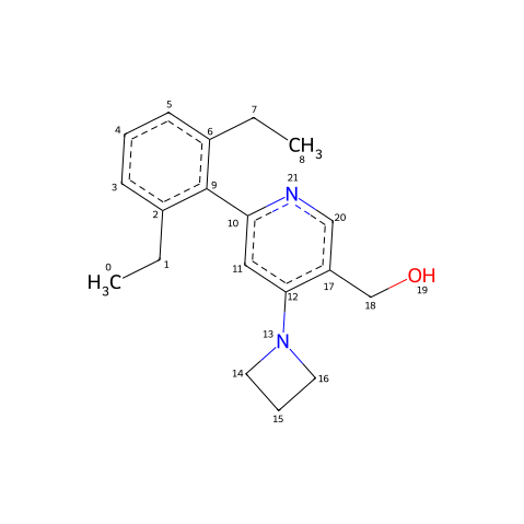 CCc1cccc(CC)c1-c1cc(N2CCC2)c(CO)cn1